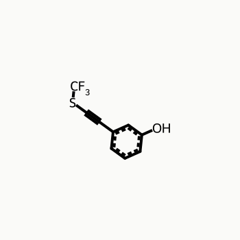 Oc1cccc(C#CSC(F)(F)F)c1